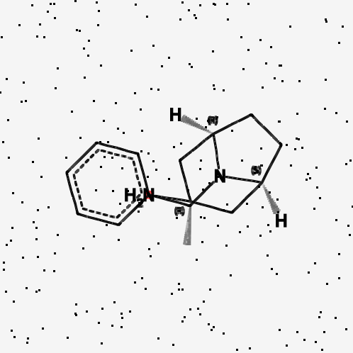 C[C@]1(N)C[C@H]2CC[C@@H](C1)N2Cc1ccccc1